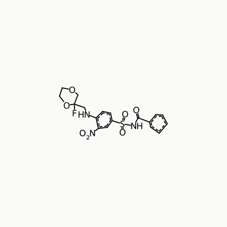 O=C(NS(=O)(=O)c1ccc(NCC2(F)COCCO2)c([N+](=O)[O-])c1)c1ccccc1